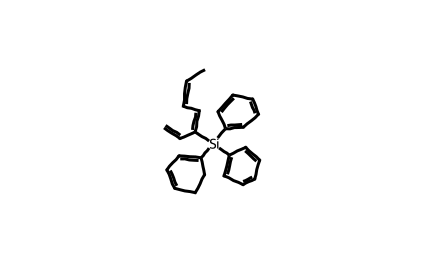 C=C/C(=C\C=C/C)[Si](C1=CC=CCC1)(c1ccccc1)c1ccccc1